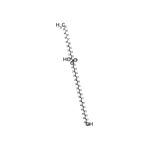 CCCCCCCCCCCCCCCCC(O)C(=O)OCCCCCCCCCCCCCCCCCCCCCCCCCCCCO